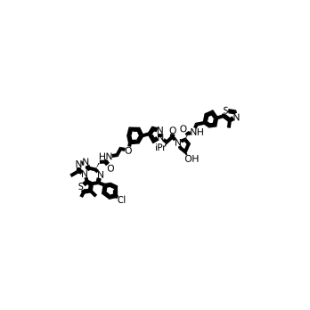 Cc1ncsc1-c1ccc(CNC(=O)[C@@H]2C[C@@H](O)CN2C(=O)[C@H](C(C)C)n2cc(-c3cccc(OCCNC(=O)C[C@@H]4N=C(c5ccc(Cl)cc5)c5c(sc(C)c5C)-n5c(C)nnc54)c3)cn2)cc1